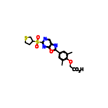 Cc1cc(-c2nc3cnc(S(=O)(=O)C4CCSC4)nc3o2)cc(C)c1OCC(=O)O